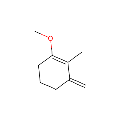 C=C1CCCC(OC)=C1C